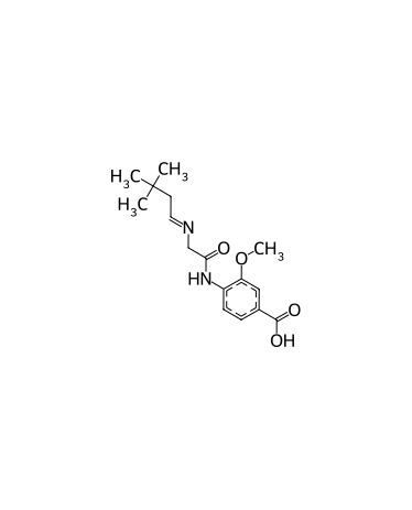 COc1cc(C(=O)O)ccc1NC(=O)C/N=C/CC(C)(C)C